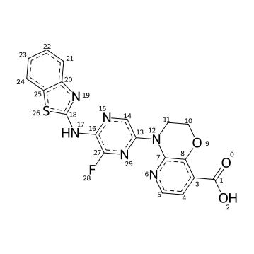 O=C(O)c1ccnc2c1OCCN2c1cnc(Nc2nc3ccccc3s2)c(F)n1